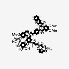 COc1cc2c(cc1OC)C[N+](CCc1ccc(NC(=O)c3cc(OC)c(OC)cc3NC(=O)c3cnc4ccccc4c3)cc1)(Cc1ccc(OC3C[C@H](C(=O)O)[C@@H](O)[C@H](O)[C@H]3O)c(NC(=O)CCNC(=O)[C@H](CN)N3C(=O)C=CC3=O)c1)CC2